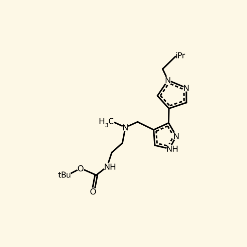 CC(C)Cn1cc(-c2n[nH]cc2CN(C)CCNC(=O)OC(C)(C)C)cn1